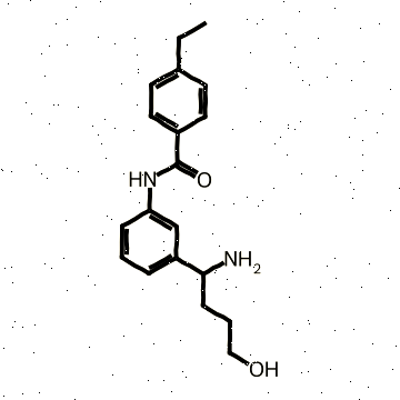 CCc1ccc(C(=O)Nc2cccc(C(N)CCCO)c2)cc1